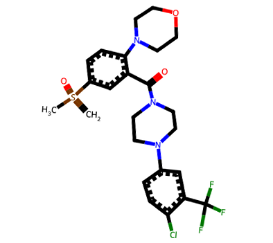 C=S(C)(=O)c1ccc(N2CCOCC2)c(C(=O)N2CCN(c3ccc(Cl)c(C(F)(F)F)c3)CC2)c1